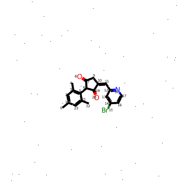 Cc1cc(C)c(C2C(=O)CC(=Cc3cc(Br)ccn3)C2=O)c(C)c1